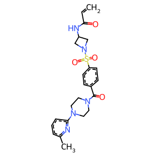 C=CC(=O)NC1CN(S(=O)(=O)c2ccc(C(=O)N3CCN(c4cccc(C)n4)CC3)cc2)C1